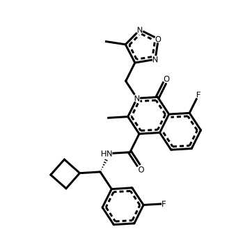 Cc1nonc1Cn1c(C)c(C(=O)N[C@H](c2cccc(F)c2)C2CCC2)c2cccc(F)c2c1=O